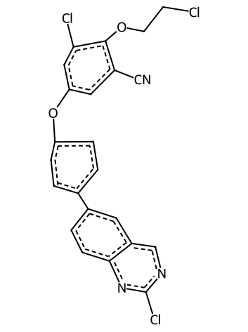 N#Cc1cc(Oc2ccc(-c3ccc4nc(Cl)ncc4c3)cc2)cc(Cl)c1OCCCl